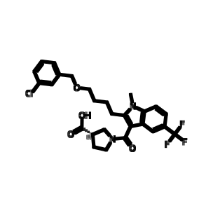 Cn1c(CCCCOCc2cccc(Cl)c2)c(C(=O)N2CC[C@H](C(=O)O)C2)c2cc(C(F)(F)F)ccc21